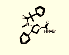 CN(C(=O)C(C)(C)C1=CC=C=C=C1)[C@@H]1CN(C(=O)NBr)C[C@H]1c1ccccc1